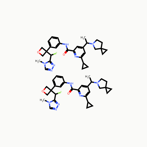 CC(c1cc(C(=O)Nc2cccc(C3(C(F)c4nncn4C)COC3)c2)nc(C2CC2)c1)N1CCC2(CC2)C1.CC(c1cc(C(=O)Nc2cccc(C3(C(F)c4nncn4C)COC3)c2)nc(C2CC2)c1)N1CCC2(CC2)C1